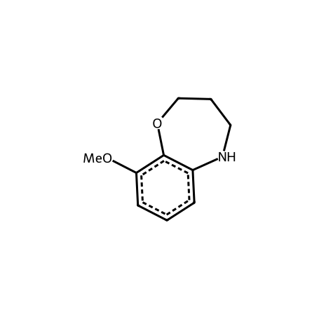 COc1cccc2c1OCCCN2